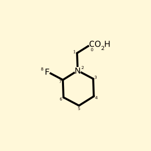 O=C(O)CN1CCCCC1F